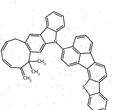 C=C1/C=C\C=C/Cc2cc3c4ccccc4n(-c4ccc5c6c(cccc46)-c4ccc6c(sc7ccccc76)c4-5)c3cc2C1(C)C